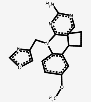 Nc1nccc(N(Cc2cocn2)c2ccc(OC(F)(F)F)cc2C2CCC2)n1